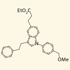 CCOC(=O)CCc1ccc2c(c1)c(CCc1ccccc1)cn2-c1ccc(COC)cc1